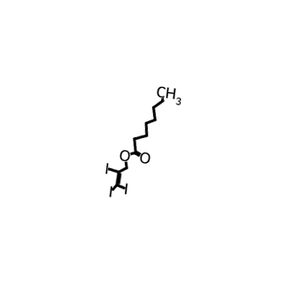 CCCCCCCC(=O)OCC(I)=C(I)I